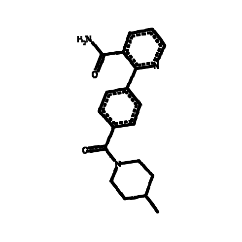 CC1CCN(C(=O)c2ccc(-c3ncccc3C(N)=O)cc2)CC1